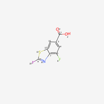 O=C(O)c1cc(F)c2nc(I)sc2c1